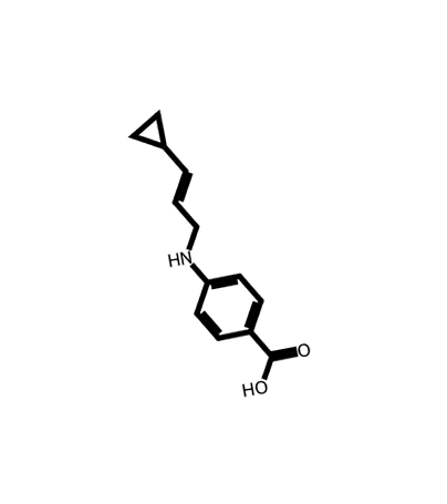 O=C(O)c1ccc(NCC=CC2CC2)cc1